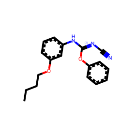 CCCCOc1cccc(N/C(=N/C#N)Oc2ccccc2)c1